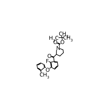 Cc1ccccc1Oc1cccc(C(=O)C2CCCN(C(=O)OC(C)(C)C)C2)c1F